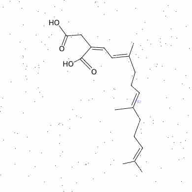 CC(C)=CCC/C(C)=C/CCC(C)=CC=C(CC(=O)O)C(=O)O